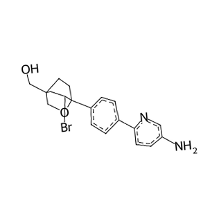 Nc1ccc(-c2ccc(C34CCC(CO)(CO3)CC4Br)cc2)nc1